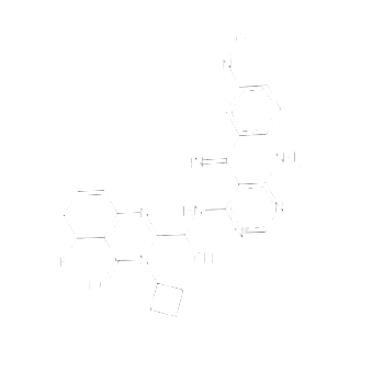 C=C1C2=C(C=CCC2F)N=C(C(C)Nc2ncnc(N)c2C(=N)c2cccc(N=O)c2)N1C1CCC1